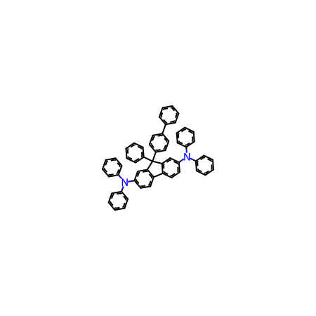 c1ccc(-c2ccc(C3(c4ccccc4)c4cc(N(c5ccccc5)c5ccccc5)ccc4-c4ccc(N(c5ccccc5)c5ccccc5)cc43)cc2)cc1